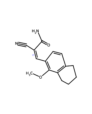 COc1c(/C=C(/C#N)C(N)=O)ccc2c1CCCC2